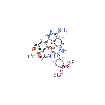 CCOc1ccc(C(Nc2ccc3c(N)nccc3c2)C(=O)NC(C)c2ccccc2S(=O)(=O)C(C)C)cc1OC(C)C